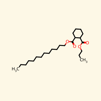 CCCCCCCCCCCCCOC(=O)C1CCCCC1C(=O)OCCC